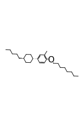 CCCCCCCCOc1ccc([C@H]2CC[C@H](CCCCC)CC2)cc1C